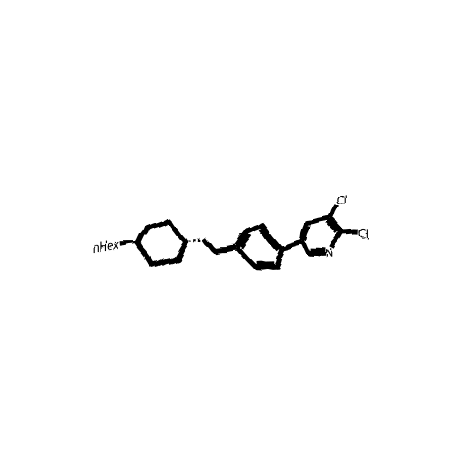 CCCCCC[C@H]1CC[C@H](CCc2ccc(-c3cnc(Cl)c(Cl)c3)cc2)CC1